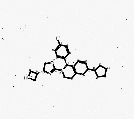 Fc1ccc([C@H]2C3=C(CCN2C2=N[C@H](C4CNC4)CO2)CC(C2CCCC2)C=C3)cc1